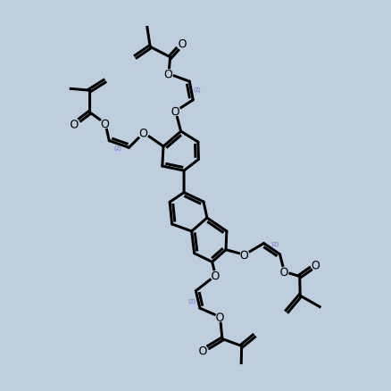 C=C(C)C(=O)O/C=C\Oc1ccc(-c2ccc3cc(O/C=C\OC(=O)C(=C)C)c(O/C=C\OC(=O)C(=C)C)cc3c2)cc1O/C=C\OC(=O)C(=C)C